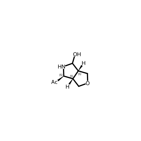 CC(=O)[C@H]1NC(O)[C@@H]2COC[C@H]12